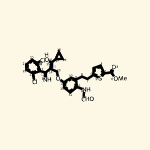 COC(=O)c1ccc(CCc2cc(OC/C(C(=N)c3c(Cl)cccc3Cl)=C(/O)C3CC3)ccc2NC=O)s1